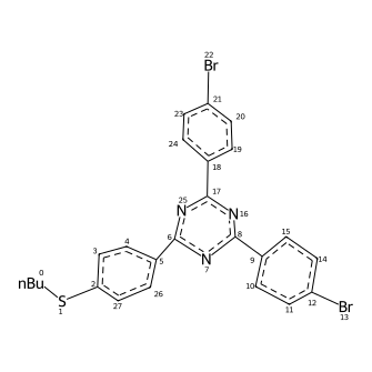 CCCCSc1ccc(-c2nc(-c3ccc(Br)cc3)nc(-c3ccc(Br)cc3)n2)cc1